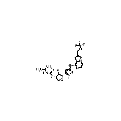 CC(C)NC(=O)O[C@H]1CO[C@@H](c2cc(Nc3nccn4nc(COC(F)(F)F)cc34)n[nH]2)[C@@H]1F